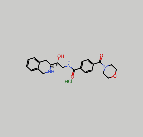 Cl.O=C(NC[C@@H](O)[C@@H]1Cc2ccccc2CN1)c1ccc(C(=O)N2CCOCC2)cc1